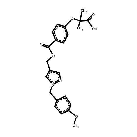 COc1ccc(Cn2cc(COC(=O)c3ccc(SC(C)(C)C(=O)O)cc3)cn2)cc1